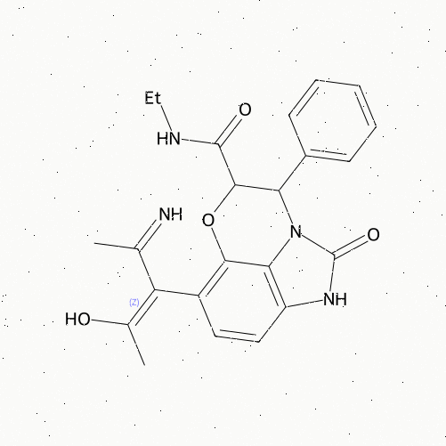 CCNC(=O)C1Oc2c(/C(C(C)=N)=C(\C)O)ccc3[nH]c(=O)n(c23)C1c1ccccc1